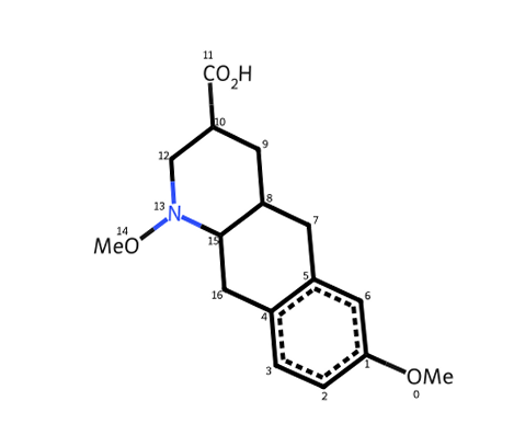 COc1ccc2c(c1)CC1CC(C(=O)O)CN(OC)C1C2